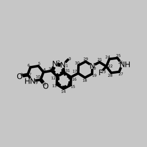 Cn1nc(C2CCC(=O)NC2=O)c2cccc(C3CCN(CC4(F)CCNCC4)CC3)c21